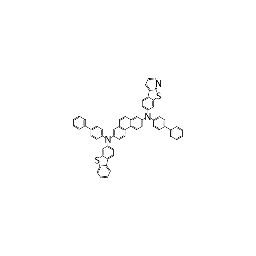 c1ccc(-c2ccc(N(c3ccc4c(ccc5cc(N(c6ccc(-c7ccccc7)cc6)c6ccc7c(c6)sc6ncccc67)ccc54)c3)c3ccc4c(c3)sc3ccccc34)cc2)cc1